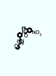 O=C(Nc1cccc(-c2nnc(-c3ccco3)o2)c1)c1cc([N+](=O)[O-])ccc1Cl